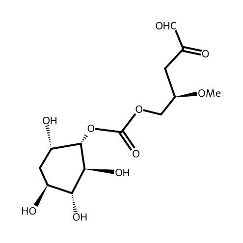 CO[C@@H](COC(=O)O[C@@H]1[C@@H](O)[C@H](O)[C@@H](O)C[C@@H]1O)CC(=O)C=O